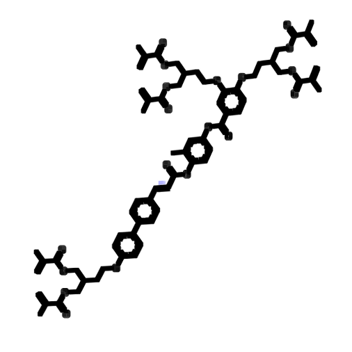 C=C(C)C(=O)OCC(CCOc1ccc(-c2ccc(/C=C/C(=O)Oc3ccc(OC(=O)c4ccc(OCCC(COC(=O)C(=C)C)COC(=O)C(=C)C)c(OCCC(COC(=O)C(=C)C)COC(=O)C(=C)C)c4)cc3C)cc2)cc1)COC(=O)C(=C)C